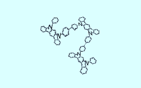 c1ccc(-n2c3ccccc3c3cc4c5ccccc5n(-c5ccc(-c6ccc(-n7c8ccccc8c8cc9c%10ccccc%10n(-c%10ccc(-c%11ccc(-n%12c%13ccccc%13c%13cc%14c%15ccccc%15n(-c%15ccccc%15)c%14cc%13%12)cc%11)cc%10)c9cc87)cc6)cc5)c4cc32)cc1